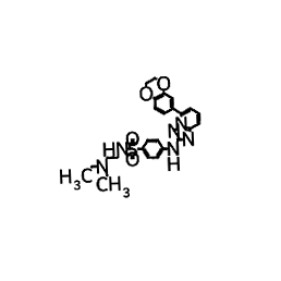 CCN(CC)CCNS(=O)(=O)c1ccc(Nc2nc3cccc(-c4ccc5c(c4)OCCO5)n3n2)cc1